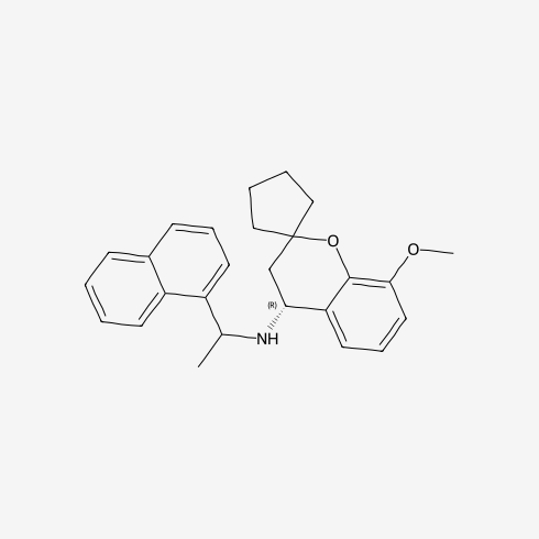 COc1cccc2c1OC1(CCCC1)C[C@H]2NC(C)c1cccc2ccccc12